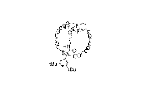 CC(C)[Si](OCCCNC(=O)c1cc2cc(-c3cc(C(C)(C)C)cc(C(C)(C)C)c3)c1COCCOCCOCc1ccc(cc1)COCCOCCOC2)(C(C)C)C(C)C